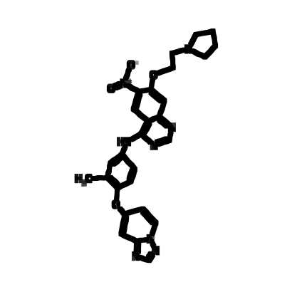 Cc1cc(Nc2ncnc3cc(OCCN4CCCC4)c([N+](=O)[O-])cc23)ccc1Oc1ccn2ncnc2c1